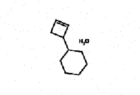 C1=CC(C2CCCCC2)C1.O